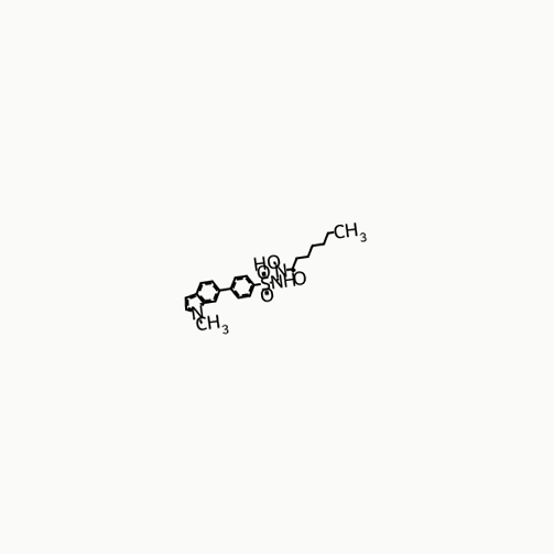 CCCCCCC(=O)N(O)NS(=O)(=O)c1ccc(-c2ccc3ccn(C)c3c2)cc1